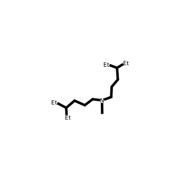 CCC(CC)CCCN(C)CCCC(CC)CC